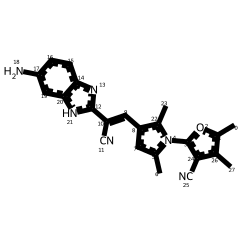 Cc1oc(-n2c(C)cc(C=C(C#N)c3nc4ccc(N)cc4[nH]3)c2C)c(C#N)c1C